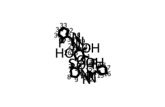 OCC1OC(SC2CCCC(n3cc(-c4ccccc4F)nn3)C2O)C(O)C(n2cc(-c3ccccc3F)nn2)C1O